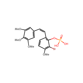 COc1ccc(/C=C\c2cc(OC)c(OC)c(OC)c2)c(OP(=O)(O)O)c1Br